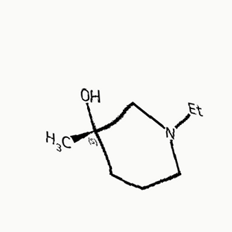 CCN1CCC[C@](C)(O)C1